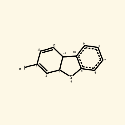 IC1=CC2Sc3ccccc3C2C=C1